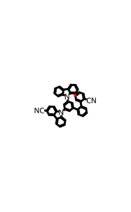 N#Cc1ccc2c(c1)c1ccccc1n2-c1cc(-c2ccccc2-c2ccccc2C#N)cc(-n2c3ccccc3c3ccccc32)c1